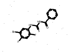 O=C(NC(=S)Nc1cc(Br)c(F)cc1F)c1ccccc1